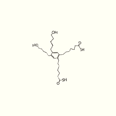 O=C(S)CCCCCCc1cc(CCCCCO)c(CCCCCO)cc1CCCCCCC(=O)S